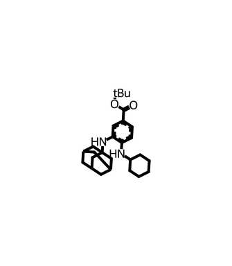 CC(C)(C)OC(=O)c1ccc(NC2CCCCC2)c(NC23CC4CC(CC(C4)C2)C3)c1